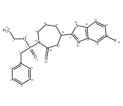 CCOP(=O)(Cc1ccccc1)N1CCCC(c2nc3cc(F)ccc3s2)CC1=O